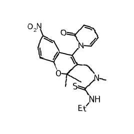 CCNC(=S)N(C)CC1=C(n2ccccc2=O)c2cc([N+](=O)[O-])ccc2OC1(C)C